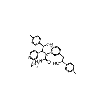 Cc1ccc(C(O)Cc2ccnc(N(C(N)=O)C(c3ccnc(N)c3)C(O)c3ccc(C)cc3)c2)cc1